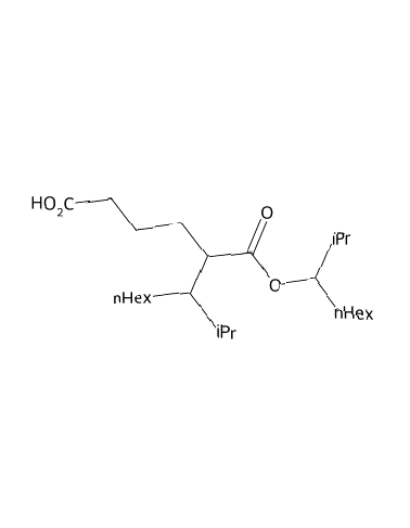 CCCCCCC(OC(=O)C(CCCC(=O)O)C(CCCCCC)C(C)C)C(C)C